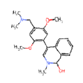 COc1cc(C2=CN(C)C(O)c3ccccc32)c(OC)cc1CN(C)C